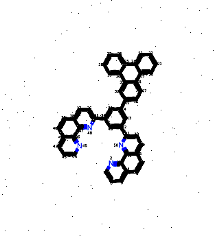 c1cnc2c(c1)ccc1ccc(-c3cc(-c4ccc5c6ccccc6c6ccccc6c5c4)cc(-c4ccc5ccc6cccnc6c5n4)c3)nc12